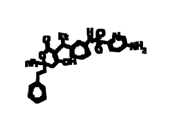 CCCC1(CCc2ccccc2)CC(O)=C(C(CC)c2cccc(NS(=O)(=O)c3ccc(N)cn3)c2)C(=O)O1